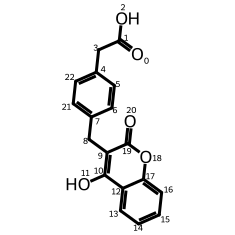 O=C(O)Cc1ccc(Cc2c(O)c3ccccc3oc2=O)cc1